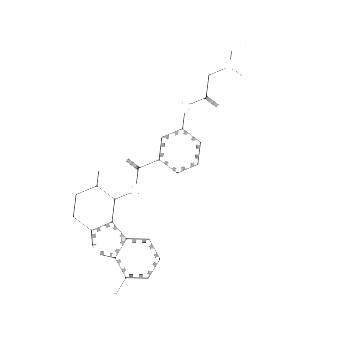 CN(C)CC(=O)Nc1cccc(C(=O)NC2c3c(oc4c(Cl)cccc34)CCC2Cl)c1